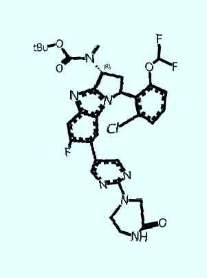 CN(C(=O)OC(C)(C)C)[C@@H]1CC(c2c(Cl)cccc2OC(F)F)n2c1nc1cc(F)c(-c3cnc(N4CCNC(=O)C4)nc3)cc12